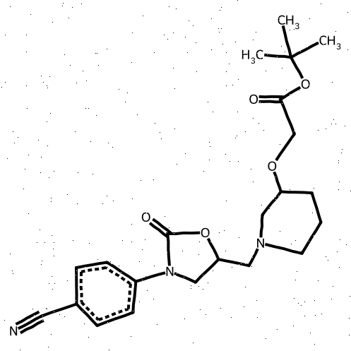 CC(C)(C)OC(=O)COC1CCCN(CC2CN(c3ccc(C#N)cc3)C(=O)O2)C1